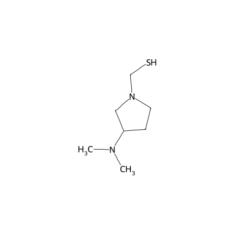 CN(C)C1CCN(CS)C1